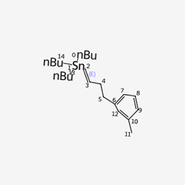 CCC[CH2][Sn](/[CH]=C/CCc1cccc(C)c1)([CH2]CCC)[CH2]CCC